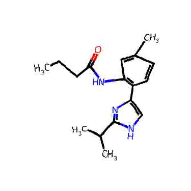 CCCC(=O)Nc1cc(C)ccc1-c1c[nH]c(C(C)C)n1